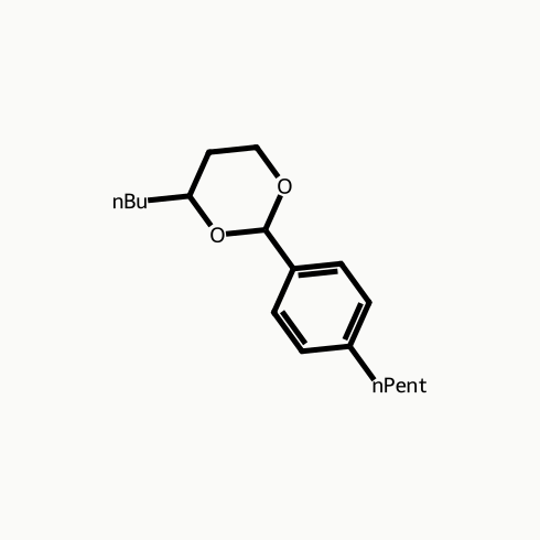 CCCCCc1ccc(C2OCCC(CCCC)O2)cc1